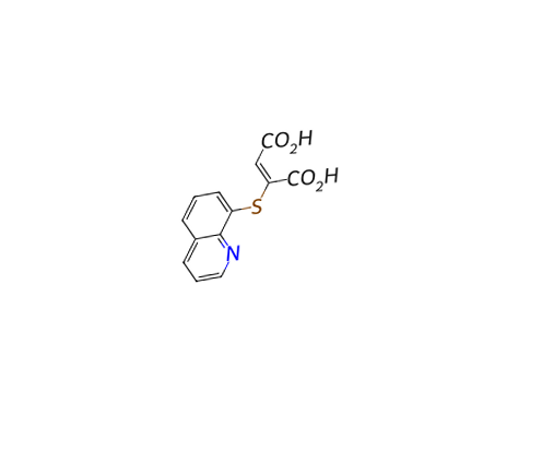 O=C(O)C=C(Sc1cccc2cccnc12)C(=O)O